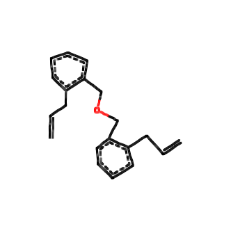 C=CCc1ccccc1COCc1ccccc1CC=C